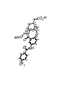 COCN1C(=O)c2cc(NC(=O)c3ccc(C(F)(F)F)cc3)ccc2OC[C@@H]2O[C@H](CC(=O)O)CC[C@@H]21